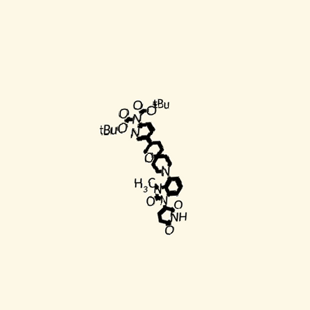 Cn1c(=O)n(C2=CCC(=O)NC2=O)c2cccc(N3CCC4(CCC(c5ccc(N(C(=O)OC(C)(C)C)C(=O)OC(C)(C)C)nc5)CO4)CC3)c21